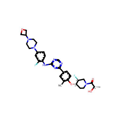 C[C@H](O)C(=O)N1CC[C@H](Oc2ccc(-c3ncnc(Nc4ccc(N5CCN(C6COC6)CC5)cc4F)n3)cc2C#N)[C@@H](F)C1